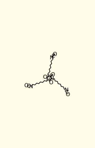 O=C=NCCCCCCCCn1c(=O)n(CCCCCCCCN=C=O)c(=O)n(CCCCCCCCN=C=O)c1=O